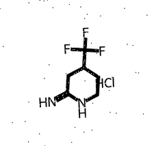 Cl.N=C1CC(C(F)(F)F)CCN1